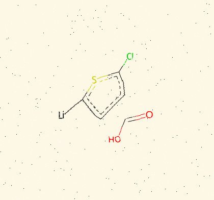 O=CO.[Li][c]1ccc(Cl)s1